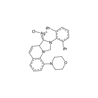 CC(C)c1cccc(C(C)C)c1N1CN2c3c(cccc3N3CCOCC3)C=CC2[C]1=[Ag-2][Cl]